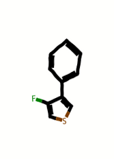 Fc1cscc1-c1ccccc1